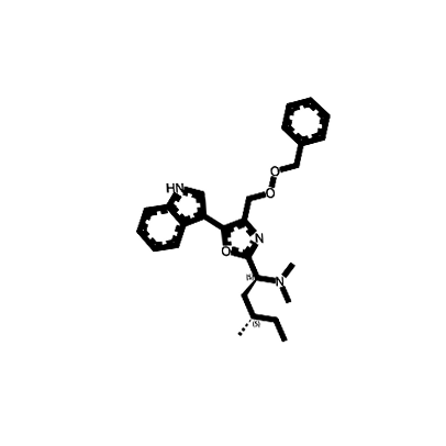 CC[C@H](C)C[C@@H](c1nc(COOCc2ccccc2)c(-c2c[nH]c3ccccc23)o1)N(C)C